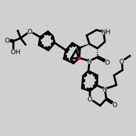 COCCCN1C(=O)COc2ccc(N(C(=O)[C@H]3CNCC[C@@H]3c3cccc(-c4ccc(OC(C)(C)C(=O)O)cc4)c3)C3CC3)cc21